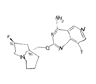 Nc1nc(OC[C@]23CCCN2C[C@@H](F)C3)nc2c(F)cncc12